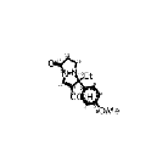 CC[C@@]1(c2ccc(OC)cc2)C(C(=O)O)=CN2C(=O)CCN21